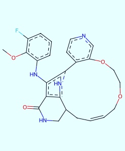 COc1c(F)cccc1Nc1c2[nH]c3c1C(=O)NCC3C/C=C\COCCOc1cnccc1-2